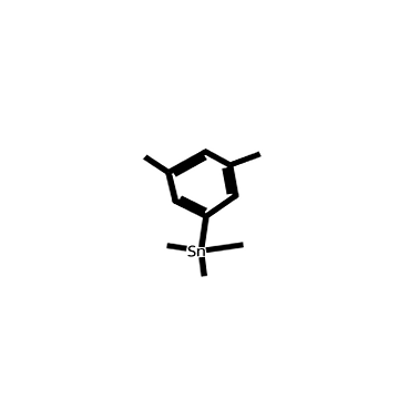 Cc1cc(C)c[c]([Sn]([CH3])([CH3])[CH3])c1